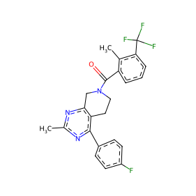 Cc1nc2c(c(-c3ccc(F)cc3)n1)CCN(C(=O)c1cccc(C(F)(F)F)c1C)C2